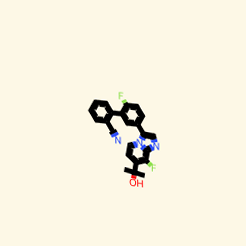 CC(C)(O)c1ccn2c(-c3ccc(F)c(-c4ccccc4C#N)c3)cnc2c1F